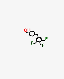 OCC1CCC(Cc2cc(CF)c(CF)c(CF)c2)CC1